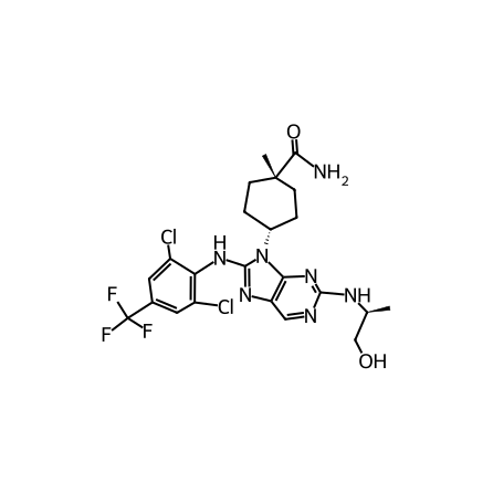 C[C@@H](CO)Nc1ncc2nc(Nc3c(Cl)cc(C(F)(F)F)cc3Cl)n([C@H]3CC[C@@](C)(C(N)=O)CC3)c2n1